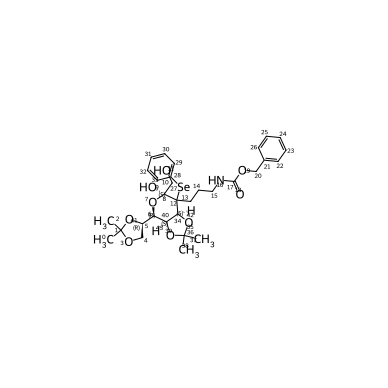 CC1(C)OC[C@H]([C@H]2O[C@@](O)(CO)C(CCCNC(=O)OCc3ccccc3)([Se]c3ccccc3)[C@H]3OC(C)(C)O[C@@H]23)O1